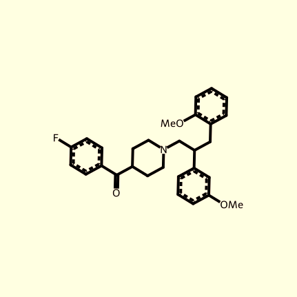 COc1cccc(C(Cc2ccccc2OC)CN2CCC(C(=O)c3ccc(F)cc3)CC2)c1